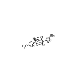 CC(C)(C)c1cc(NC(=O)C(C)(C)S(=O)(=O)c2ccc(C(F)(F)F)cn2)no1